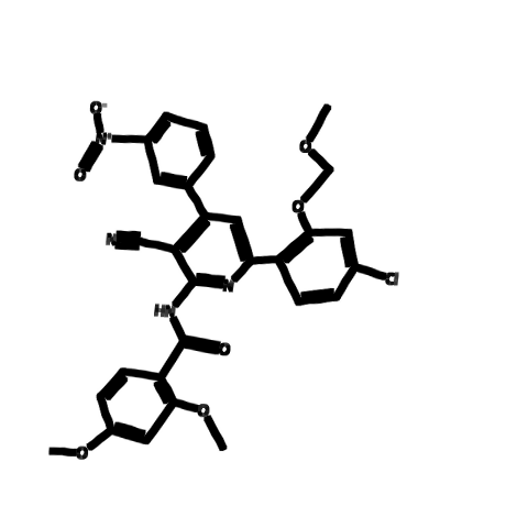 COCOc1cc(Cl)ccc1-c1cc(-c2cccc([N+](=O)[O-])c2)c(C#N)c(NC(=O)c2ccc(OC)cc2OC)n1